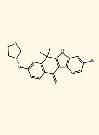 CC1(C)c2cc(O[C@@H]3CCOC3)ccc2C(=O)c2c1[nH]c1cc(Br)ccc21